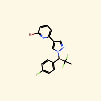 CC(F)(F)[C@@H](c1ccc(F)cc1)n1cc(-c2cccc(Br)n2)cn1